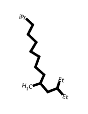 CCC(CC)CC(C)CCCCCCCC(C)C